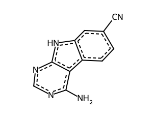 N#Cc1ccc2c(c1)[nH]c1ncnc(N)c12